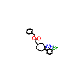 O=C(CC1CCCc2c([nH]c3c(Br)cccc23)CC1)OCc1ccccc1